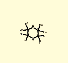 CC1(F)OC(C)(F)C(F)(F)OC1(F)F